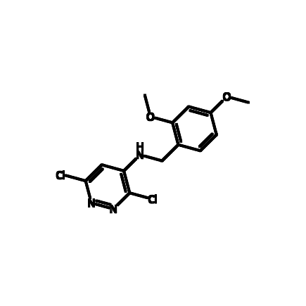 COc1ccc(CNc2cc(Cl)nnc2Cl)c(OC)c1